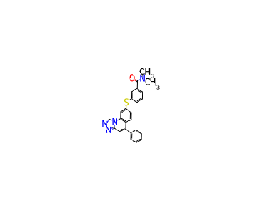 CN(C)C(=O)c1cccc(Sc2ccc3c(-c4ccccc4)cc4nncn4c3c2)c1